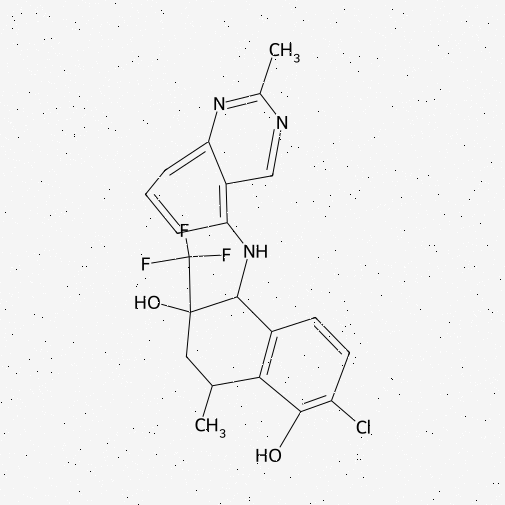 Cc1ncc2c(NC3c4ccc(Cl)c(O)c4C(C)CC3(O)C(F)(F)F)cccc2n1